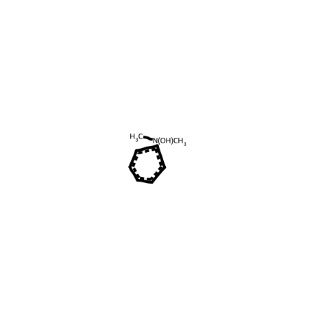 CN(C)O.c1ccccc1